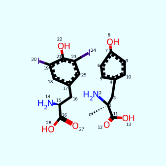 C[C@](N)(Cc1ccc(O)cc1)C(=O)O.N[C@@H](Cc1cc(I)c(O)c(I)c1)C(=O)O